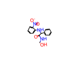 O=C(NCO)C(Nc1ccccc1[N+](=O)[O-])c1ccccc1